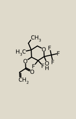 C=CC(=O)OC1C(C)(CC)COC(O)(C(F)(F)F)C1(F)F